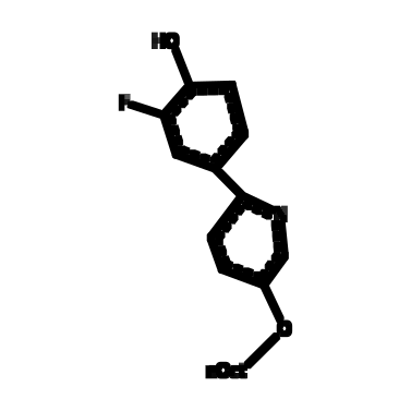 CCCCCCCCOc1ccc(-c2ccc(O)c(F)c2)nc1